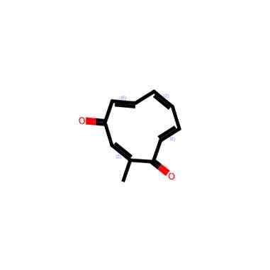 C/C1=C/C(=O)/C=C/C=C\C=C\C1=O